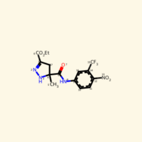 CCOC(=O)C1=NNC(C)(C(=O)Nc2ccc([N+](=O)[O-])c(C(F)(F)F)c2)C1